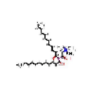 CCCCCCCCCCCC(=O)P(C(=O)CCCCCCCCCCC)C(O)C[N+](C)(C)C